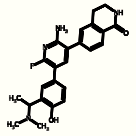 CC(c1cc(-c2cc(-c3ccc4c(c3)CCNC4=O)c(N)nc2F)ccc1O)N(C)C